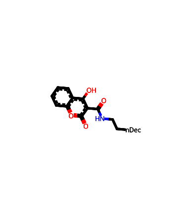 CCCCCCCCCCCCNC(=O)c1c(O)c2ccccc2oc1=O